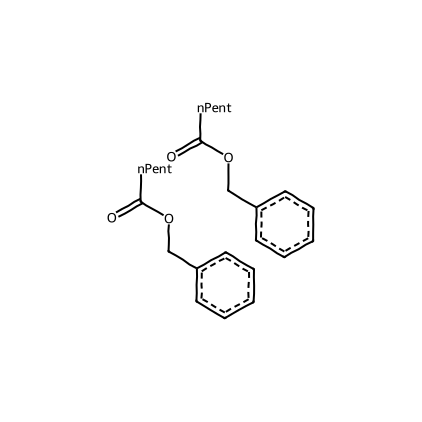 CCCCCC(=O)OCc1ccccc1.CCCCCC(=O)OCc1ccccc1